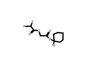 CCC1(OC(=O)COC(=O)C(F)F)CCCCC1